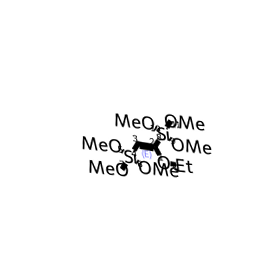 CCO/C(=C\[Si](OC)(OC)OC)[Si](OC)(OC)OC